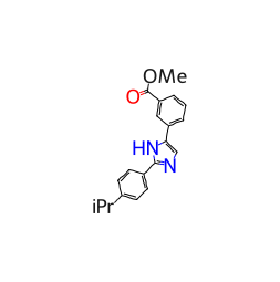 COC(=O)c1cccc(-c2cnc(-c3ccc(C(C)C)cc3)[nH]2)c1